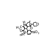 CCCOC(=O)C1=C(C)NC(CF)=C(C(=O)OC2CCOCC2)C1c1cccc([N+](=O)[O-])c1